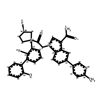 CC(=O)c1cn(CC(=O)[N+]2(c3cccc(-c4ccccc4Cl)c3F)CC[C@@H](F)C2)c2ccc(-c3ccc(C)nc3)cc12